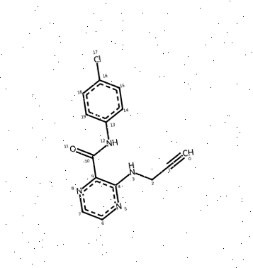 C#CCNc1nccnc1C(=O)Nc1ccc(Cl)cc1